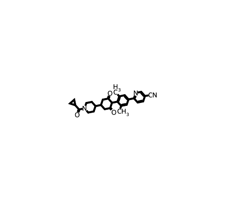 Cc1cc(-c2ccc(C#N)cn2)cc(C)c1C1C(=O)CC(C2CCN(C(=O)C3CC3)CC2)CC1=O